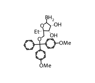 BC1O[C@](CC)(COC(c2ccccc2)(c2ccc(OC)cc2)c2ccc(OC)cc2)[C@@H](O)[C@H]1O